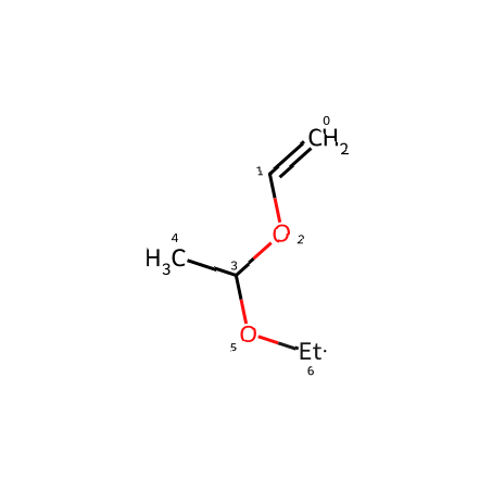 C=COC(C)O[CH]C